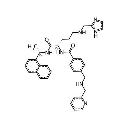 C[C@H](NC(=O)[C@H](CCCNCc1ncc[nH]1)NC(=O)c1ccc(CNCc2ccccn2)cc1)c1cccc2ccccc12